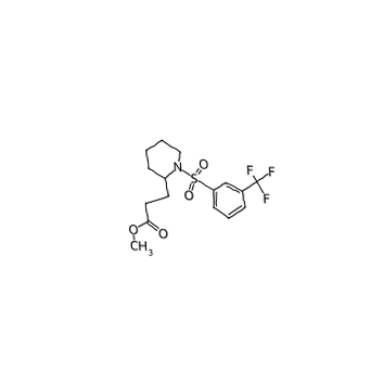 COC(=O)CCC1CCCCN1S(=O)(=O)c1cccc(C(F)(F)F)c1